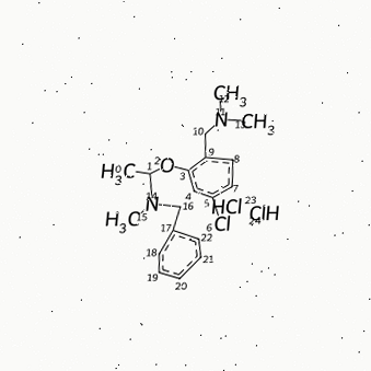 CC(Oc1cc(Cl)ccc1CN(C)C)N(C)Cc1ccccc1.Cl.Cl